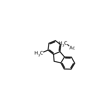 CC(C)=O.Cc1cccc2c1Cc1ccccc1-2